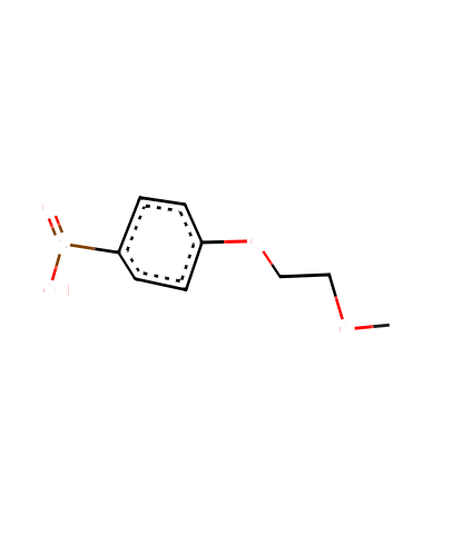 CCOCCOc1ccc(S(=O)O)cc1